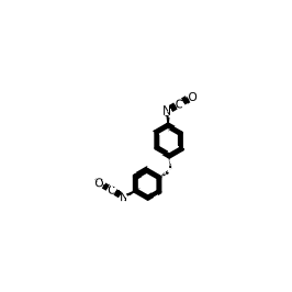 O=C=N[C@H]1CC[C@H](C[C@H]2CC[C@H](N=C=O)CC2)CC1